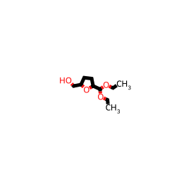 CCOC(OCC)C1CCC(CO)O1